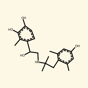 Cc1cc(O)cc(C)c1CC(C)(C)NCC(O)c1ccc(O)c(O)c1C